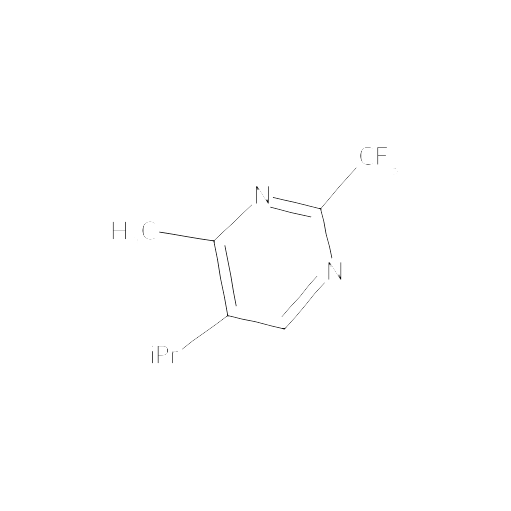 Cc1nc(C(F)(F)F)ncc1C(C)C